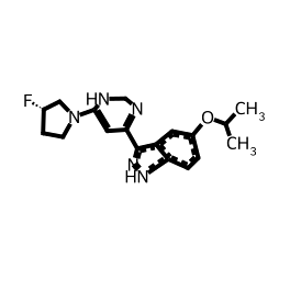 CC(C)Oc1ccc2[nH]nc(C3=NCNC(N4CC[C@H](F)C4)=C3)c2c1